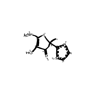 CC(=O)NC1=C(O)C(=O)C(C)(c2nccs2)O1